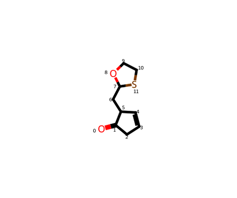 O=C1CC=CC1CC1OCCS1